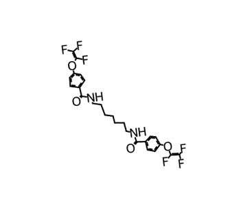 O=C(NCCCCCCCNC(=O)c1ccc(OC(F)=C(F)F)cc1)c1ccc(OC(F)=C(F)F)cc1